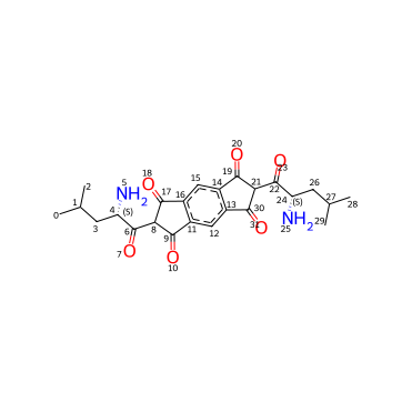 CC(C)C[C@H](N)C(=O)C1C(=O)c2cc3c(cc2C1=O)C(=O)C(C(=O)[C@@H](N)CC(C)C)C3=O